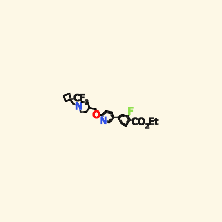 CCOC(=O)c1ccc(-c2ccc(OCC3CCN(CC4(C(F)(F)F)CCC4)CC3)nc2)cc1F